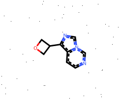 c1cc2c(C3COC3)ncn2cn1